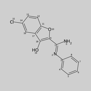 NC(=Nc1ccccc1)c1oc2ccc(Cl)cc2c1O